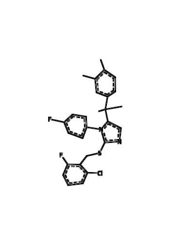 Cc1ccc(C(C)(C)c2cnc(SCc3c(F)cccc3Cl)n2-c2ccc(F)cc2)cc1C